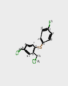 Fc1ccc(Sc2ccc(Cl)cc2CCl)cc1